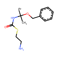 CC(C)C(C)(NC(=O)SCCN)OCc1ccccc1